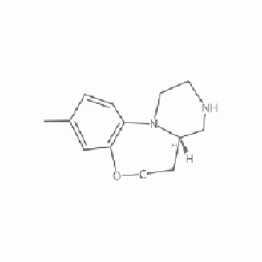 Cc1ccc2c(c1)OCC[C@H]1CNCCN21